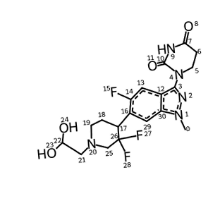 Cn1nc(N2CCC(=O)NC2=O)c2cc(F)c(C3CCN(CC(O)O)CC3(F)F)cc21